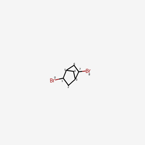 BrC1CC2CC1CC2Br